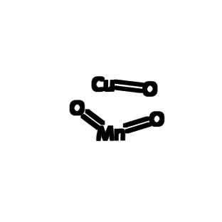 [O]=[Cu].[O]=[Mn]=[O]